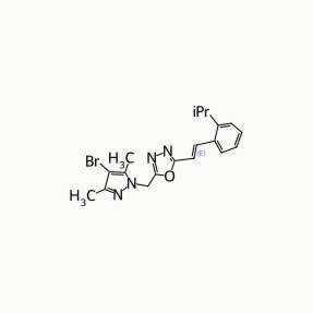 Cc1nn(Cc2nnc(/C=C/c3ccccc3C(C)C)o2)c(C)c1Br